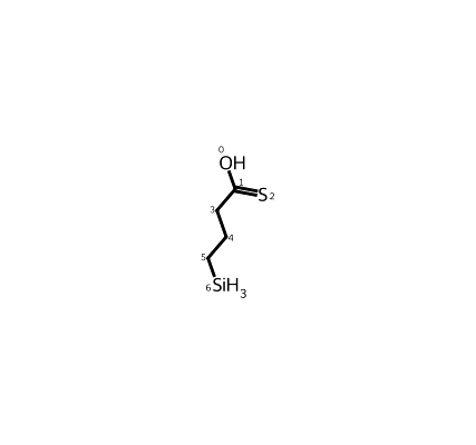 OC(=S)CCC[SiH3]